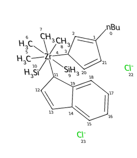 CCCCC1=C[CH]([Zr]([CH3])([CH3])([CH3])([CH3])([SiH3])([SiH3])[CH]2C=Cc3ccccc32)C=C1.[Cl-].[Cl-]